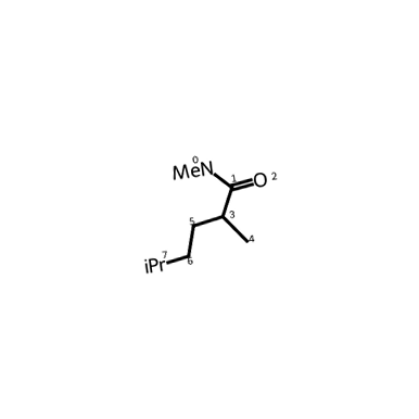 CNC(=O)C(C)CCC(C)C